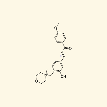 COc1ccc(C(=O)/C=C/c2ccc(C[N+]3(C)CCOCC3)c(O)c2)cc1